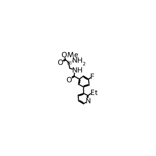 CCc1ncccc1-c1cc(F)cc(C(=O)NC[C@@H](N)C(=O)OC)c1